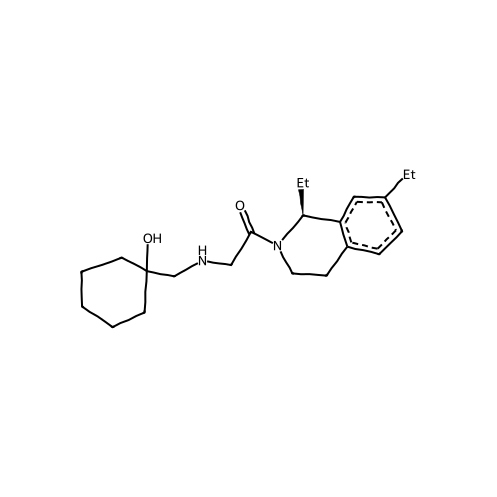 CCc1ccc2c(c1)[C@H](CC)N(C(=O)CNCC1(O)CCCCC1)CC2